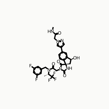 CNC(=O)Cn1cc(-c2ccc3c(c2)[C@@H](O)C[C@]32NC(=O)N(CC(=O)N(Cc3cc(F)cc(F)c3)[C@@H](C)C(F)(F)F)C2=O)cn1